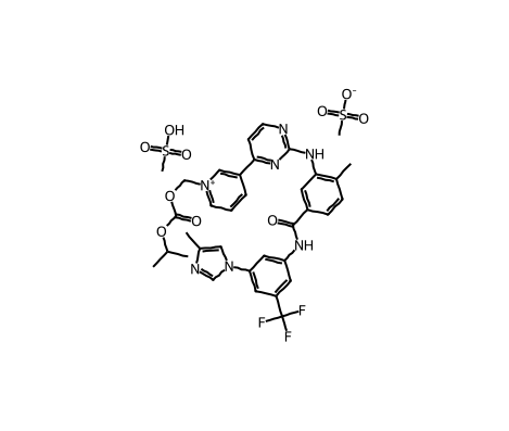 CS(=O)(=O)O.CS(=O)(=O)[O-].Cc1cn(-c2cc(NC(=O)c3ccc(C)c(Nc4nccc(-c5ccc[n+](COC(=O)OC(C)C)c5)n4)c3)cc(C(F)(F)F)c2)cn1